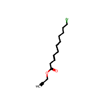 C#CCOC(=O)CCCCCCCCCCBr